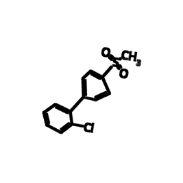 CS(=O)(=O)c1ccc(-c2ccccc2Cl)cc1